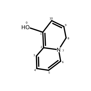 OC1=C2C=CC=CN2CC=C1